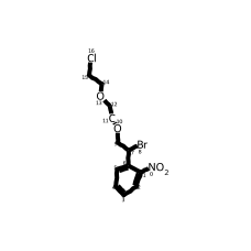 O=[N+]([O-])c1ccccc1C(Br)COCCOCCCl